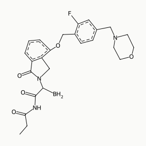 BC(C(=O)NC(=O)CC)N1Cc2c(OCc3ccc(CN4CCOCC4)cc3F)cccc2C1=O